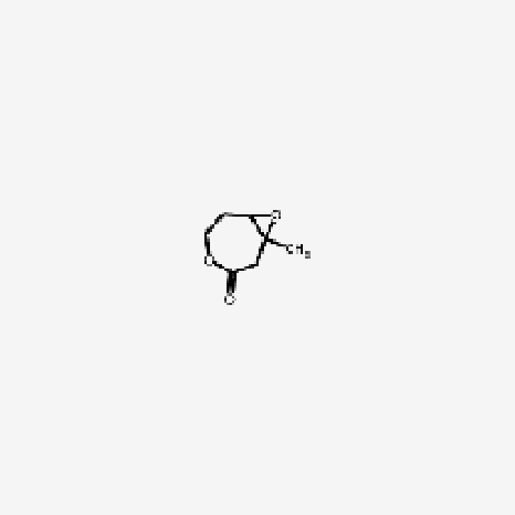 CC12CC(=O)OCCC1O2